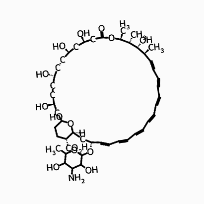 CC1OC(O[C@H]2/C=C/C=C/C=C/C=C/C=C/C=C/C=C/[C@H](C)[C@@H](O)[C@@H](C)[C@H](C)OC(=O)C[C@H](O)C[C@H](O)CC[C@@H](O)CC[C@H](O)C[C@]3(O)CC[C@@H](C(=O)O)[C@H](C2)O3)C(O)C(N)C1O